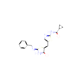 O=C1N/C(=N/Cc2ccccc2)S/C1=C\c1cnc(NC(=O)C2CC2)s1